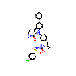 CN1CCc2c(n(-c3ccc(CC4(NC(=O)NS(=O)(=O)c5ccc(Cl)cc5)CC4)cc3)c3ccc(-c4ccccc4)cc23)C1=O